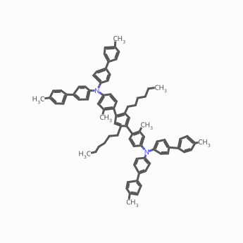 CCCCCCc1cc(-c2ccc(N(c3ccc(-c4ccc(C)cc4)cc3)c3ccc(-c4ccc(C)cc4)cc3)cc2C)c(CCCCCC)cc1-c1ccc(N(c2ccc(-c3ccc(C)cc3)cc2)c2ccc(-c3ccc(C)cc3)cc2)cc1C